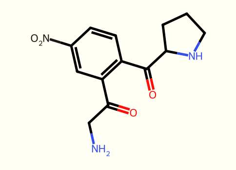 NCC(=O)c1cc([N+](=O)[O-])ccc1C(=O)C1CCCN1